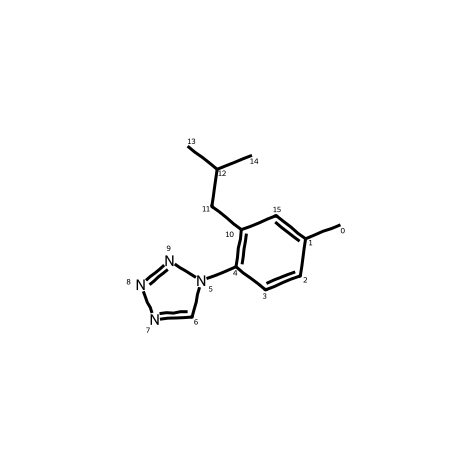 Cc1ccc(-n2cnnn2)c(CC(C)C)c1